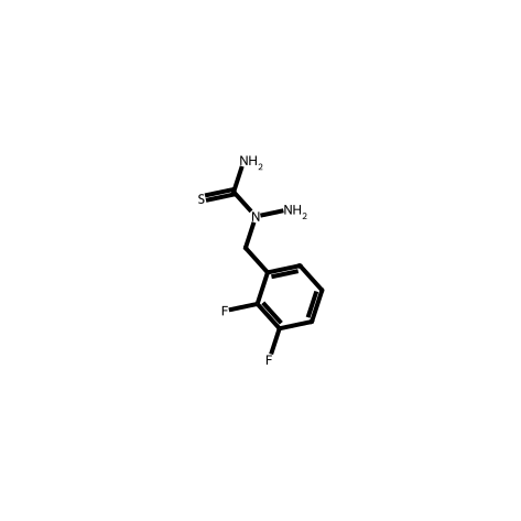 NC(=S)N(N)Cc1cccc(F)c1F